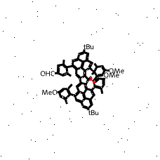 COC1=CC(C)C(C)(c2cc3cc(C(C)(C)C)cc4cc(-c5c(C)cc(C=O)cc5C)c5cc6c(c2c5c43)C(C)(C)c2c-6cc3c(-c4c(C)cc(OC)cc4C)cc4cc(C(C)(C)C)cc5cc(-c6c(C)cc(OC)cc6C)c2c3c45)C(C)=C1